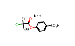 CCCCC(Cl)(CC)C(=O)Oc1ccc(S(=O)(=O)O)cc1.[NaH]